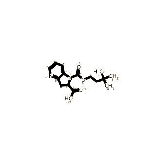 CC(C)(C)CCOC(=O)N1c2cccnc2CC1C(=O)O